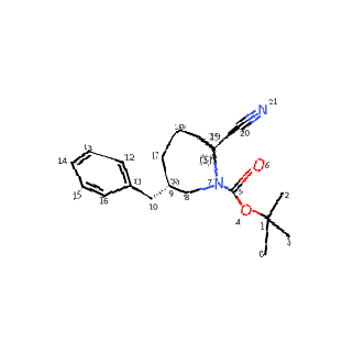 CC(C)(C)OC(=O)N1C[C@H](Cc2ccccc2)CC[C@H]1C#N